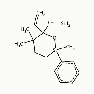 C=CC1(O[SiH3])O[Si](C)(c2ccccc2)CCC1(C)C